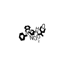 C=C(C(=O)Nc1cnc(N(Cc2ccccc2)Cc2ccccc2)c([N+](=O)[O-])c1)C1CCOCC1